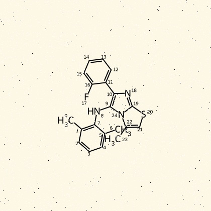 Cc1cccc(C)c1Nc1c(-c2ccccc2F)nc2scc(C)n12